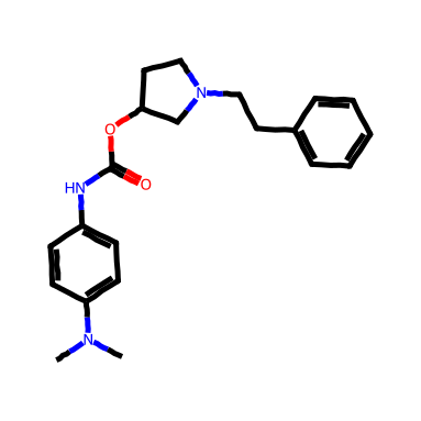 CN(C)c1ccc(NC(=O)OC2CCN(CCc3ccccc3)C2)cc1